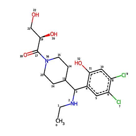 CCNC(c1cc(Cl)c(Cl)cc1O)C1CCN(C(=O)[C@H](O)CO)CC1